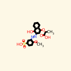 COc1ccc(S(=O)(=O)O)cc1N=Nc1cc(OC(C)C(=O)O)c2ccccc2c1O